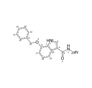 CCCNC(=O)c1c[nH]c2c(OCc3ccccc3)cccc12